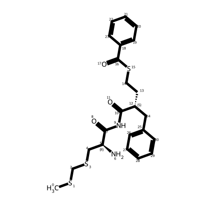 CSCSC[C@H](N)C(=O)NC(=O)[C@H](CCSC(=O)c1ccccc1)Cc1ccccc1